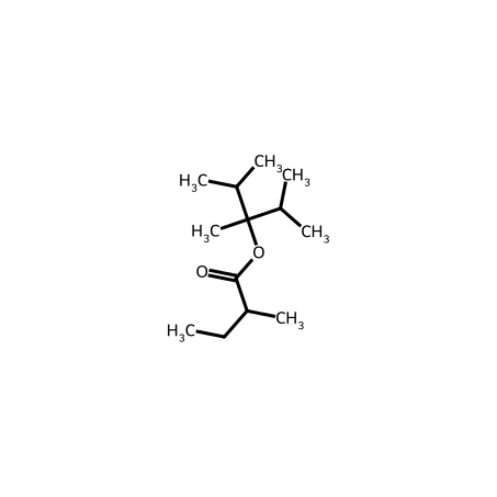 CCC(C)C(=O)OC(C)(C(C)C)C(C)C